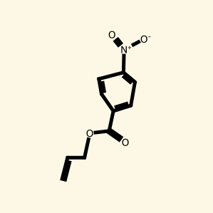 C=CCOC(=O)c1ccc([N+](=O)[O-])cc1